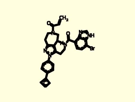 C=CC(=O)N1CCc2nn(-c3ccc(C45CC(C4)C5)cc3)c3c2[C@@H](C1)N(C(=O)c1ccc(Br)c2[nH]cnc12)CC3